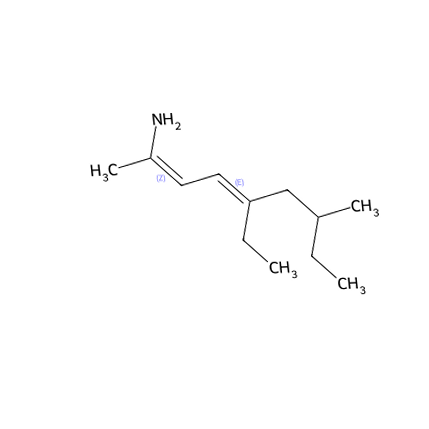 CC/C(=C\C=C(\C)N)CC(C)CC